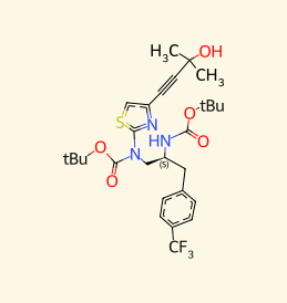 CC(C)(O)C#Cc1csc(N(C[C@H](Cc2ccc(C(F)(F)F)cc2)NC(=O)OC(C)(C)C)C(=O)OC(C)(C)C)n1